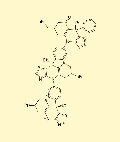 CCCC1CC(=O)C2=C(C1)N(c1ccc([C@@]3(CC)C4=C(C[C@@H](C(C)C)CC4=O)Nc4ncsc43)cc1)c1ncsc1[C@@]2(CC)c1ccc(N2C3=C(C(=O)CC(CC(C)C)C3)[C@@](c3ccccc3)(C(C)C)c3scnc32)cc1